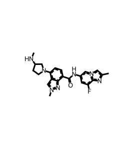 CNC1CCN(c2ccc(C(=O)Nc3cc(F)c4nc(C)cn4c3)c3nn(C)cc23)C1